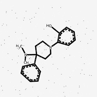 CN(C)C1(c2ccccc2)CCN(c2ccccc2O)CC1